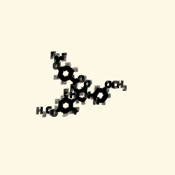 COc1ccnc(N2C[C@@H](c3c(F)cc(OC)cc3F)C(NC(=O)c3ccc(OC(F)F)cc3)C2=O)c1